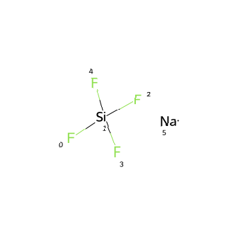 F[Si](F)(F)F.[Na]